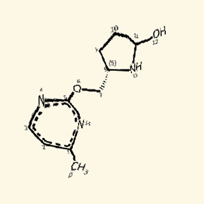 Cc1ccnc(OC[C@@H]2CCC(O)N2)n1